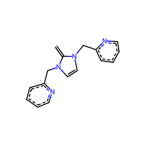 C=C1N(Cc2ccccn2)C=CN1Cc1ccccn1